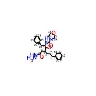 NNC(=O)CC(CCCc1ccccc1)C(=O)C(Cc1ccccc1)NC(=O)N1CCOCC1